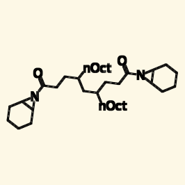 CCCCCCCCC(CCC(=O)N1C2CCCCC21)CC(CCCCCCCC)CCC(=O)N1C2CCCCC21